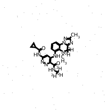 [2H]C([2H])([2H])NC(=O)c1nnc(NC(=O)C2CC2)cc1Nc1cccc2c1N(C)C([2H])([2H])c1nc(C)nn1-2